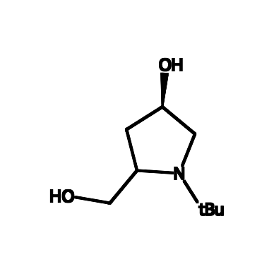 CC(C)(C)N1C[C@H](O)CC1CO